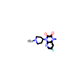 Cn1c(=O)c(=O)n(C2CCN(C(C)(C)C)CC2)c2ncc(F)cc21